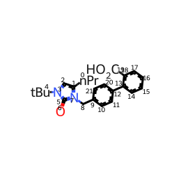 CCCc1cn(C(C)(C)C)c(=O)n1Cc1ccc(-c2ccccc2C(=O)O)cc1